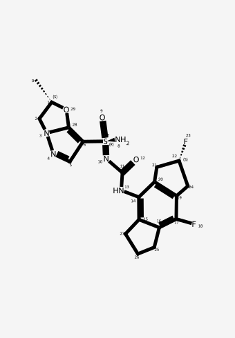 C[C@H]1Cn2ncc([S@](N)(=O)=NC(=O)Nc3c4c(c(F)c5c3C[C@H](F)C5)CCC4)c2O1